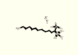 CCCCCCCCCCCC(S(=O)(=O)[O-])S(=O)(=O)[O-].[K+].[K+]